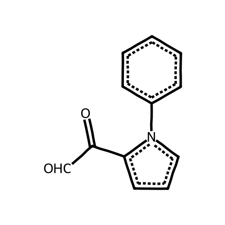 O=CC(=O)c1cccn1-c1ccccc1